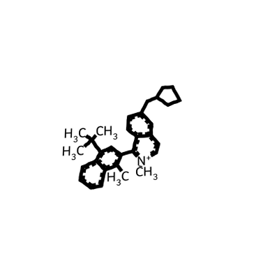 Cc1c(-c2c3ccc(CC4CCCC4)cc3cc[n+]2C)cc(C(C)(C)C)c2ccccc12